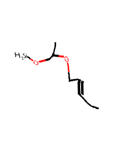 CC=CCOC(C)O[SiH3]